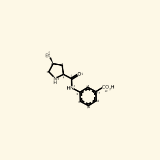 CC[C@@H]1CNC(C(=O)Nc2cccc(C(=O)O)c2)C1